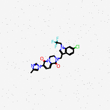 Cc1cn(-c2ccc3n(c2=O)CCN(Cc2cn(CC(F)(F)F)c4cc(Cl)ccc24)C3=O)cn1